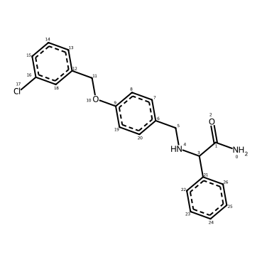 NC(=O)C(NCc1ccc(OCc2cccc(Cl)c2)cc1)c1ccccc1